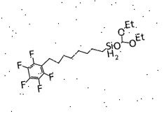 CCOC(OCC)O[SiH2]CCCCCCCCc1c(F)c(F)c(F)c(F)c1F